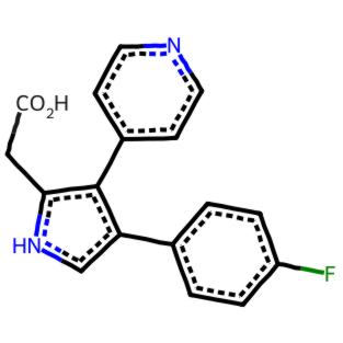 O=C(O)Cc1[nH]cc(-c2ccc(F)cc2)c1-c1ccncc1